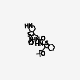 CC1(C)C=C(c2c(NC(=O)NCc3c(-n4cccc4)sc4c3CCNC4)sc3c2CCCC3)O1